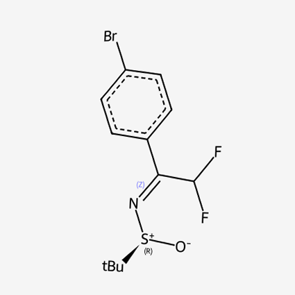 CC(C)(C)[S@+]([O-])/N=C(/c1ccc(Br)cc1)C(F)F